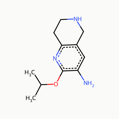 CC(C)Oc1nc2c(cc1N)CNCC2